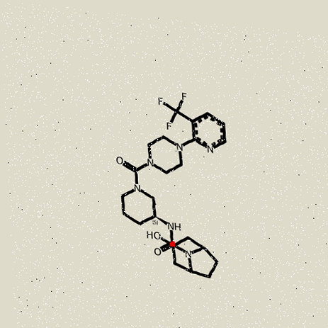 O=C(N1CCN(c2ncccc2C(F)(F)F)CC1)N1CCC[C@H](NC(=O)N2C3CCC2CC(O)C3)C1